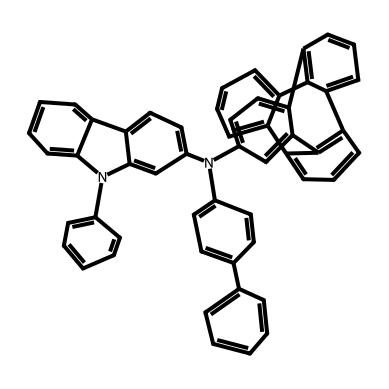 c1ccc(-c2ccc(N(c3ccc4c(c3)-c3c5cccc3-c3cccc-4c3-c3ccccc3-5)c3ccc4c5ccccc5n(-c5ccccc5)c4c3)cc2)cc1